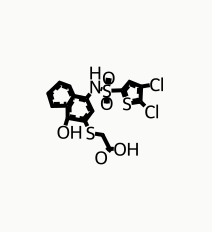 O=C(O)CSc1cc(NS(=O)(=O)c2cc(Cl)c(Cl)s2)c2ccccc2c1O